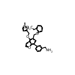 CCOC(=O)Cc1ccccc1OCc1cc(-c2cccc(CN)c2)c2occc2c1OCc1ccn(C)n1